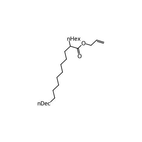 C=CCOC(=O)C(CCCCCC)CCCCCCCCCCCCCCCCCC